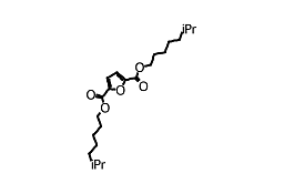 CC(C)CCCCCOC(=O)c1ccc(C(=O)OCCCCCC(C)C)o1